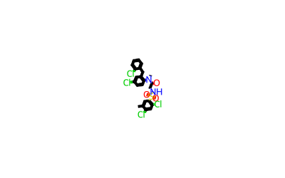 Cc1cc(S(=O)(=O)NCC(=O)N(C)c2ccc(Cl)cc2Cc2ccccc2Cl)c(Cl)cc1Cl